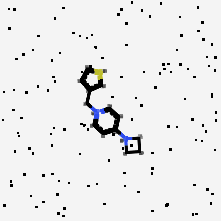 c1cc(C[n+]2ccc(N3CCC3)cc2)cs1